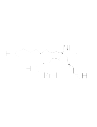 Br.CCCCCCCCC(N)(CCCCC)C(C)CCCC